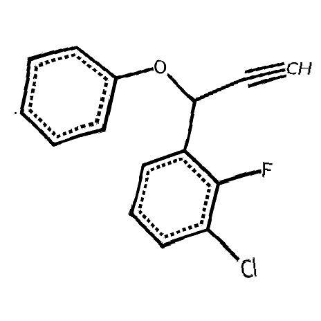 C#CC(Oc1cc[c]cc1)c1cccc(Cl)c1F